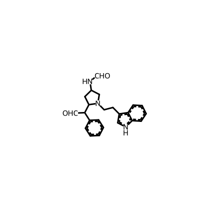 O=CNC1CC(C(C=O)c2ccccc2)N(CCc2c[nH]c3ccccc23)C1